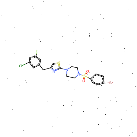 O=S(=O)(c1ccc(Br)cc1)N1CCN(c2nc(Cc3cc(F)cc(Cl)c3)cs2)CC1